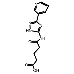 O=C(O)CCCC(=O)Nc1nc(-c2cccnc2)n[nH]1